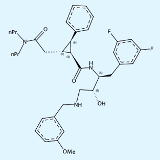 CCCN(CCC)C(=O)C[C@H]1[C@H](C(=O)N[C@@H](Cc2cc(F)cc(F)c2)[C@H](O)CNCc2cccc(OC)c2)[C@@H]1c1ccccc1